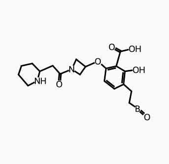 O=BCCc1ccc(OC2CN(C(=O)CC3CCCCN3)C2)c(C(=O)O)c1O